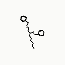 CCCCCCC(CCSCc1ccccc1)SCC1=CCCC=C1